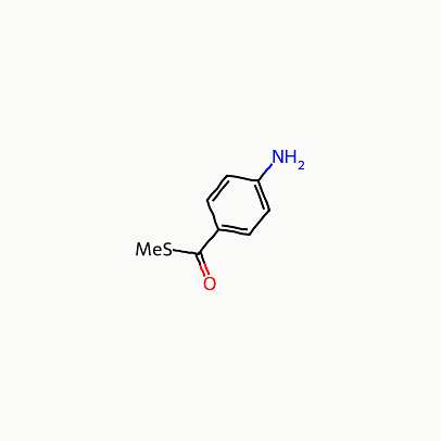 CSC(=O)c1ccc(N)cc1